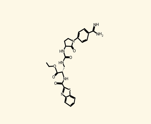 CCOC(=O)[C@H](CNC(=O)NC1CCN(c2ccc(C(=N)N)cc2)C1=O)NC(=O)c1nc2ccccc2s1